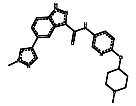 CN1CCC(Oc2ccc(NC(=O)c3n[nH]c4ccc(-c5cnn(C)c5)cc34)cn2)CC1